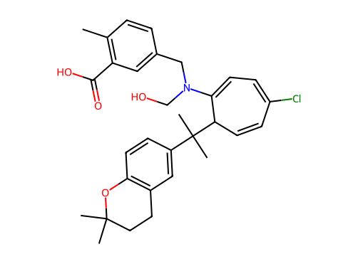 Cc1ccc(CN(CO)C2=CC=C(Cl)C=CC2C(C)(C)c2ccc3c(c2)CCC(C)(C)O3)cc1C(=O)O